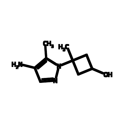 Cc1c(N)cnn1C1(C)CC(O)C1